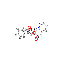 O=C(CC1CCCCN1C(=O)O)OCC(=O)c1ccccc1